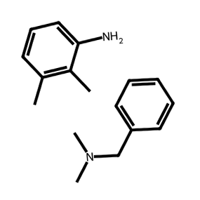 CN(C)Cc1ccccc1.Cc1cccc(N)c1C